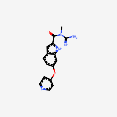 CN(C(=N)N)C(=O)c1cc2ccc(Oc3ccncc3)cc2[nH]1